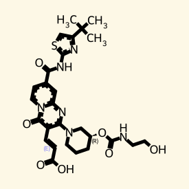 CC(C)(C)c1csc(NC(=O)c2ccn3c(=O)c(/C=C/C(=O)O)c(N4CCC[C@@H](OC(=O)NCCO)C4)nc3c2)n1